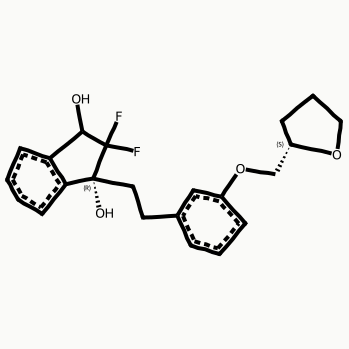 OC1c2ccccc2[C@](O)(CCc2cccc(OC[C@@H]3CCCO3)c2)C1(F)F